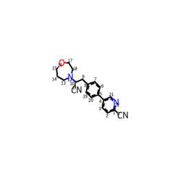 N#Cc1ccc(-c2ccc(C[C@@H](C#N)N3CCCOCC3)cc2)cn1